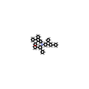 c1ccc(-c2cc(-c3ccccc3)cc(N(c3ccc(-c4ccc(-c5ccccc5)cc4-c4ccccc4)cc3)c3ccc4c(c3)c(-c3ccccc3)c(-c3ccccc3)c3ccccc34)c2)cc1